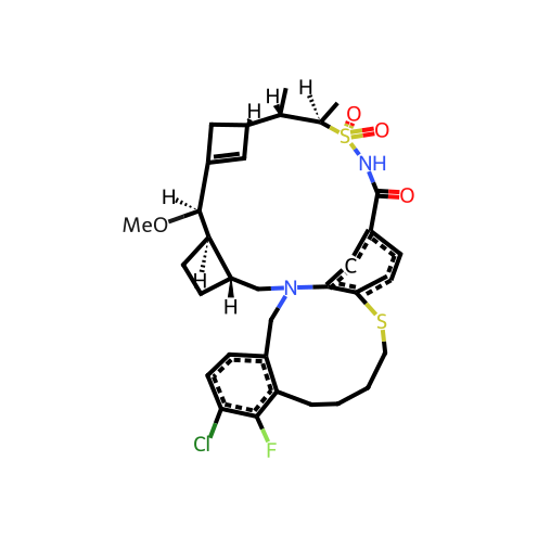 CO[C@H]1C2=C[C@@H](C2)[C@H](C)[C@@H](C)S(=O)(=O)NC(=O)c2ccc3c(c2)N(Cc2ccc(Cl)c(F)c2CCCCS3)C[C@@H]2CC[C@H]21